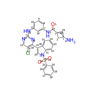 NC12CC(C(=O)Nc3cccc(Nc4ncc(Cl)c(-c5cn(S(=O)(=O)c6ccccc6)c6ccccc56)n4)c3)(C1)C2